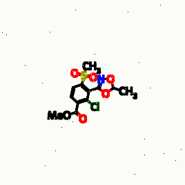 COC(=O)c1ccc(S(C)(=O)=O)c(C2=NOC(C)O2)c1Cl